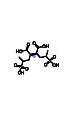 CC(C/C(C(=O)O)=C(\CC(C)S(=O)(=O)O)C(=O)O)S(=O)(=O)O